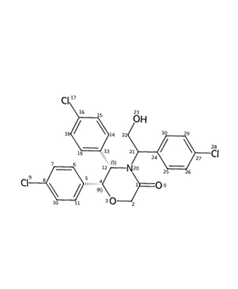 O=C1CO[C@H](c2ccc(Cl)cc2)[C@H](c2ccc(Cl)cc2)N1C(CO)c1ccc(Cl)cc1